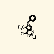 FC(F)(F)C1c2c(Cl)nc(Cl)nc2CN1Cc1ccccc1